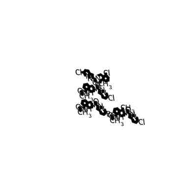 CC(=O)Nc1cccc2c1CCN(C(=O)c1cc3ccc(Br)cn3n1)C2.CC(=O)Nc1cccc2c1CCN(C(=O)c1cc3ccc(Cl)cn3n1)C2.CC(=O)Nc1cccc2c1CCN(C(=O)c1cc3ccc(Cl)cn3n1)C2C.CC1c2cccc(Cl)c2CCN1C(=O)c1cc2ccc(Cl)cn2n1